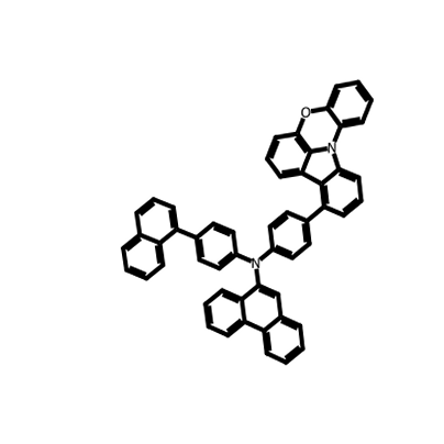 c1ccc2c(c1)Oc1cccc3c4c(-c5ccc(N(c6ccc(-c7cccc8ccccc78)cc6)c6cc7ccccc7c7ccccc67)cc5)cccc4n-2c13